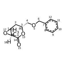 C[C@]12C[C@H](COCc3ccccc3)OC(=O)[C@H]1O2